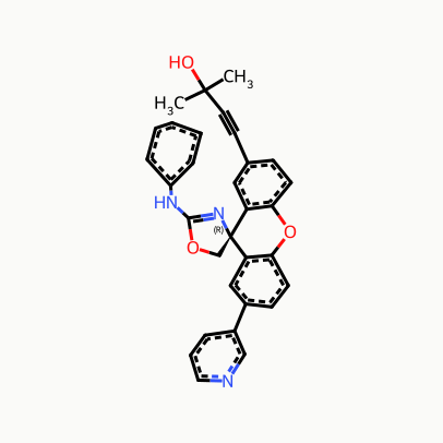 CC(C)(O)C#Cc1ccc2c(c1)[C@]1(COC(Nc3ccccc3)=N1)c1cc(-c3cccnc3)ccc1O2